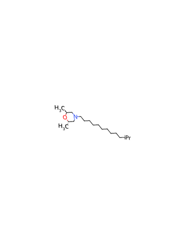 CC(C)CCCCCCCCCCN1C[C@H](C)O[C@@H](C)C1